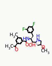 COC1CN[C@@H]([C@@H](O)[C@H](Cc2cc(F)cc(F)c2)NC(=O)c2cc(C)cc(C(C)=O)c2)C1